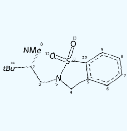 CN[C@H](CN1Cc2ccccc2S1(=O)=O)C(C)(C)C